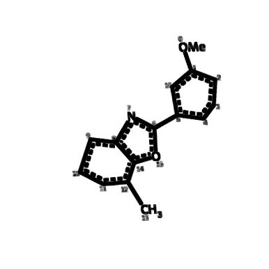 COc1cccc(-c2nc3cccc(C)c3o2)c1